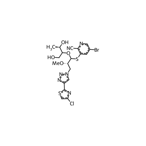 CO[C@@H](Cn1cc(-c2nc(Cl)cs2)nn1)C(OC(CO)[C@@H](C)O)Sc1cc(Br)cnc1C#N